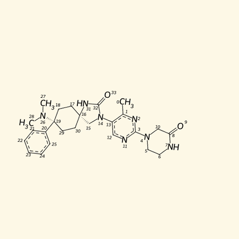 Cc1nc(N2CCNC(=O)C2)ncc1N1C[C@]2(CC[C@@](c3ccccc3)(N(C)C)CC2)NC1=O